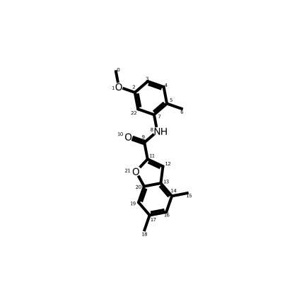 COc1ccc(C)c(NC(=O)c2cc3c(C)cc(C)cc3o2)c1